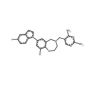 Nc1ncc(CN2CCOc3c(Cl)cc(-n4ccc5cc(F)ccc54)cc3C2)c(N)n1